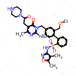 CCCCc1nc(C)c(CC(=O)N2CCNCC2)c(=O)n1Cc1ccc(-c2ccccc2S(=O)(=O)Nc2noc(C)c2C)c(COCC)c1